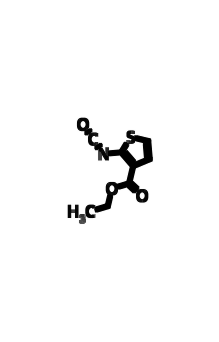 CCOC(=O)c1ccsc1N=C=O